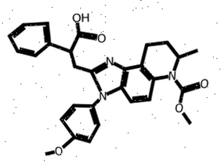 COC(=O)N1c2ccc3c(nc(CC(C(=O)O)c4ccccc4)n3-c3ccc(OC)cc3)c2CCC1C